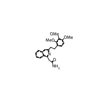 COc1ccc(CCc2cc3ccccc3c(CC(N)=O)n2)c(OC)c1OC